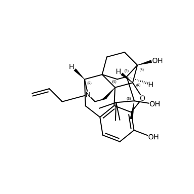 C=CCN1CC[C@]23c4c5ccc(O)c4O[C@H]2[C@@]2(O)CCC3(C[C@@H]2[C@](C)(O)C(C)(C)C)[C@H]1C5